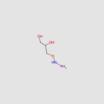 OCC(O)CONP